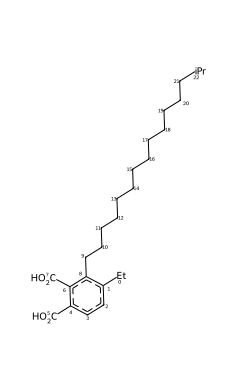 CCc1ccc(C(=O)O)c(C(=O)O)c1CCCCCCCCCCCCCC(C)C